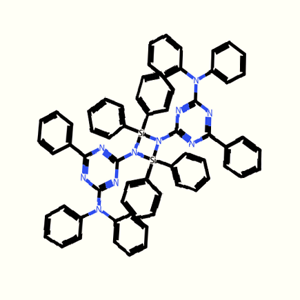 c1ccc(-c2nc(N(c3ccccc3)c3ccccc3)nc(N3[Si](c4ccccc4)(c4ccccc4)N(c4nc(-c5ccccc5)nc(N(c5ccccc5)c5ccccc5)n4)[Si]3(c3ccccc3)c3ccccc3)n2)cc1